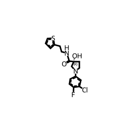 O=C(NCCc1cccs1)[C@@]1(O)CCN(c2ccc(F)c(Cl)c2)C1